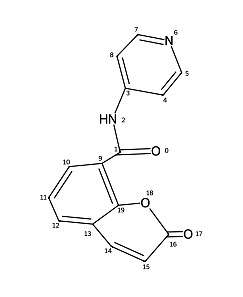 O=C(Nc1ccncc1)c1cccc2ccc(=O)oc12